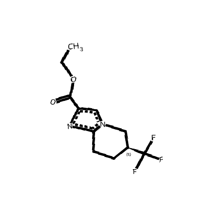 CCOC(=O)c1cn2c(n1)CC[C@H](C(F)(F)F)C2